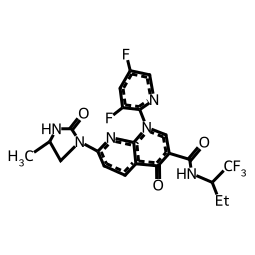 CCC(NC(=O)c1cn(-c2ncc(F)cc2F)c2nc(N3CC(C)NC3=O)ccc2c1=O)C(F)(F)F